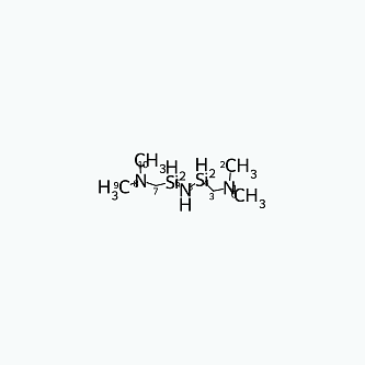 CN(C)C[SiH2]N[SiH2]CN(C)C